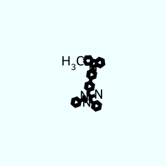 CC1C=Cc2c(n(-c3ccc(-c4ccc(-c5nc(-c6ccccc6)nc(-c6ccccc6)c5C#N)cc4)cc3)c3ccccc23)C1